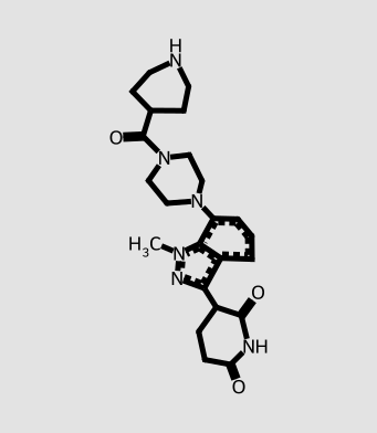 Cn1nc(C2CCC(=O)NC2=O)c2cccc(N3CCN(C(=O)C4CCNCC4)CC3)c21